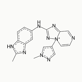 Cc1nc2cc(NC3=N[N+]4(c5cnn(C)c5)C=CN=CC4=N3)ccc2[nH]1